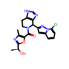 Cc1nc([C@H](C)O)oc1C(=O)N1CCc2[nH]cnc2C1c1cc2cccc(Cl)n2n1